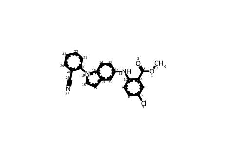 COC(=O)c1cc(Cl)ccc1Nc1ccc2c(ccn2-c2ccccc2C#N)c1